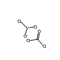 O=C(Cl)Cl.[O-][S+](Cl)Cl